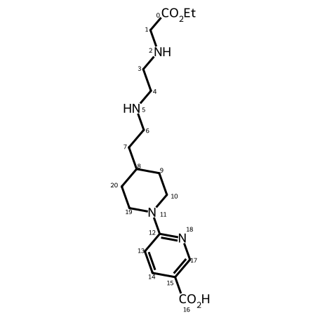 CCOC(=O)CNCCNCCC1CCN(c2ccc(C(=O)O)cn2)CC1